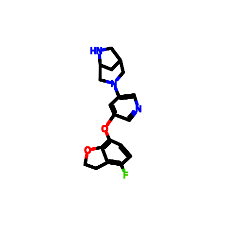 Fc1ccc(Oc2cncc(N3CC4CNC(C4)C3)c2)c2c1CCO2